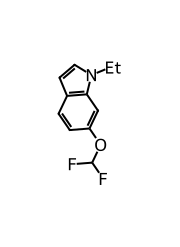 CCn1ccc2ccc(OC(F)F)cc21